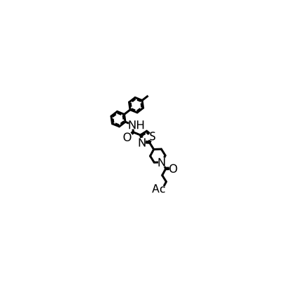 CC(=O)CCC(=O)N1CCC(c2nc(C(=O)Nc3ccccc3-c3ccc(C)cc3)cs2)CC1